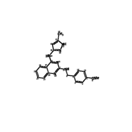 COc1ccc(CNc2nc(Nc3cc(C)[nH]n3)c3ccccc3n2)cc1